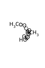 Cc1ccc(OC2C=CC(N(Cc3cccn(O)c3=O)S(C)(=O)=O)=CC2)cc1